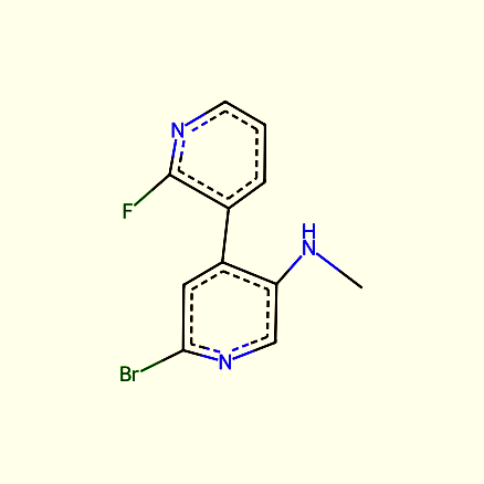 CNc1cnc(Br)cc1-c1cccnc1F